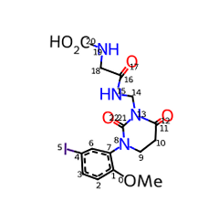 COc1ccc(I)cc1N1CCC(=O)N(CNC(=O)CNC(=O)O)C1=O